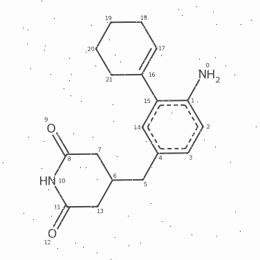 Nc1ccc(CC2CC(=O)NC(=O)C2)cc1C1=CCCCC1